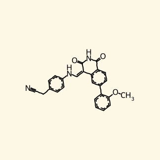 COc1ccccc1-c1ccc2c(c1)/C(=C/Nc1ccc(CC#N)cc1)C(=O)NC2=O